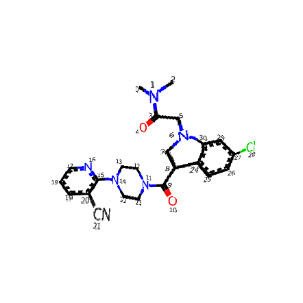 CN(C)C(=O)CN1CC(C(=O)N2CCN(c3ncccc3C#N)CC2)c2ccc(Cl)cc21